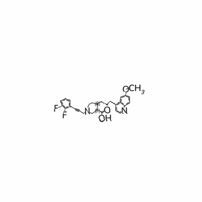 COc1ccc2nccc(CCC[C@@H]3CCN(CC#Cc4cccc(F)c4F)C[C@@H]3C(=O)O)c2c1